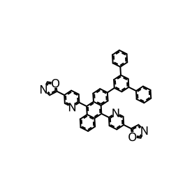 c1ccc(-c2cc(-c3ccccc3)cc(-c3ccc4c(-c5ccc(-c6cnco6)cn5)c5ccccc5c(-c5ccc(-c6cnco6)cn5)c4c3)c2)cc1